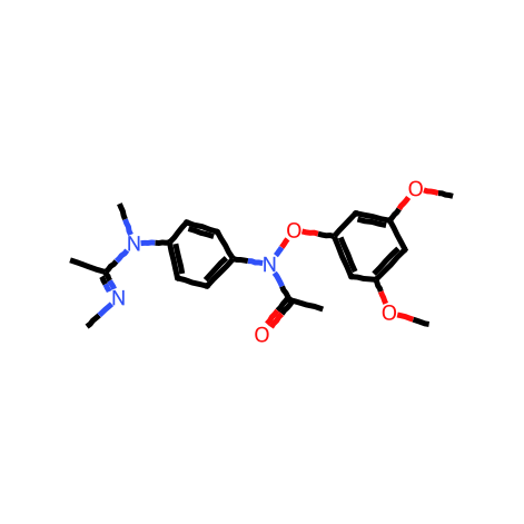 CN=C(C)N(C)c1ccc(N(Oc2cc(OC)cc(OC)c2)C(C)=O)cc1